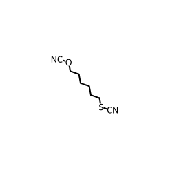 N#COCCCCCCSC#N